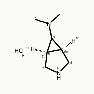 CN(C)C1[C@H]2CNC[C@@H]12.Cl